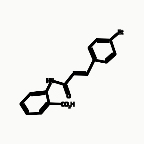 CCc1ccc(/C=C/C(=O)Nc2ccccc2C(=O)O)cc1